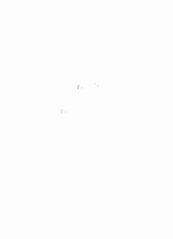 CCOC(=O)C1=C(C)Nc2[nH]ncc2C1c1cccs1